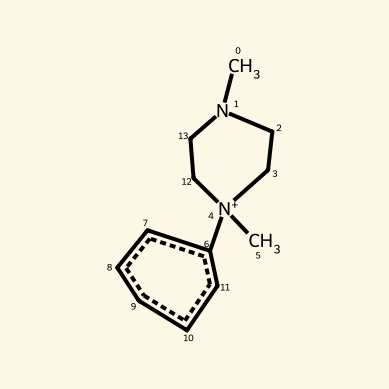 CN1CC[N+](C)(c2ccccc2)CC1